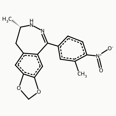 Cc1cc(C2=NN[C@@H](C)Cc3cc4c(cc32)OCO4)ccc1[N+](=O)[O-]